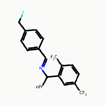 CCCC(/N=C/c1ccc(CF)cc1)c1cc(C(F)(F)F)ccc1C(F)(F)F